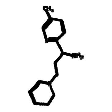 Cc1ccc(C(N)CCN2CCCCC2)nc1